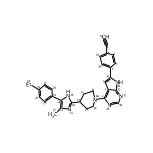 C#Cc1ccc(-c2cc3c(N4CCC(c5nc(C)c(-c6ccc(CC)cc6)[nH]5)CC4)ncnc3[nH]2)cc1